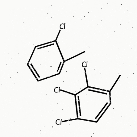 Cc1ccc(Cl)c(Cl)c1Cl.Cc1ccccc1Cl